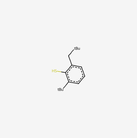 CC(C)(C)Cc1cccc(C(C)(C)C)c1S